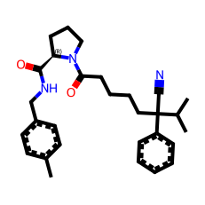 Cc1ccc(CNC(=O)[C@H]2CCCN2C(=O)CCCCC(C#N)(c2ccccc2)C(C)C)cc1